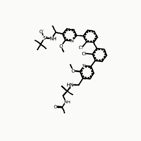 COc1nc(-c2cccc(-c3cccc(-c4ccc(C(C)N[S@+]([O-])C(C)(C)C)c(OC)n4)c3Cl)c2Cl)ccc1CNC(C)(C)CNC(C)=O